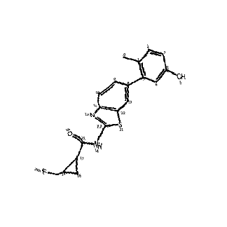 Cc1ccc(O)cc1-c1ccc2nc(NC(=O)C3CC3F)sc2c1